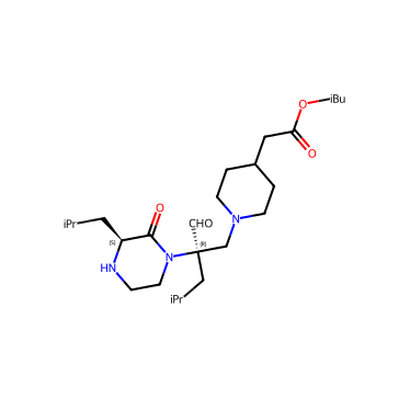 CCC(C)OC(=O)CC1CCN(C[C@@](C=O)(CC(C)C)N2CCN[C@@H](CC(C)C)C2=O)CC1